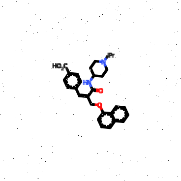 CC(C)N1CCC(NC(=O)C(=Cc2ccc(C(=O)O)cc2)COc2cccc3ccccc23)CC1